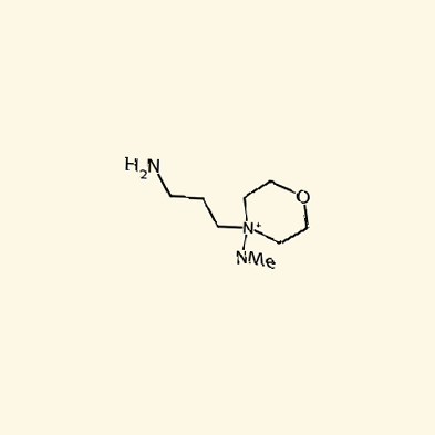 CN[N+]1(CCCN)CCOCC1